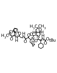 CN(C)C(=O)[C@@H](NC(=O)CNC(=O)C(=O)C(CC1CC1)NC(=O)C1[C@H]2CC(C)(C)O[C@H]2CN1C(=O)[C@@H](NC(=O)OC(C)(C)C)C1CCCCC1)c1cccs1